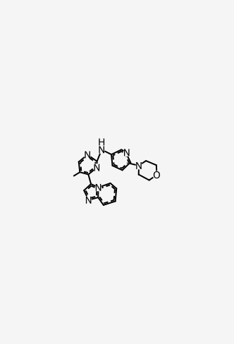 Cc1cnc(Nc2ccc(N3CCOCC3)nc2)nc1-c1cnc2ccccn12